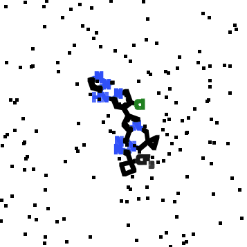 Cn1nccc1Nc1cc(-c2cc3n(c2)CC2(CC2)Cn2c-3nnc2C2(C(F)(F)F)CCC2)c(Cl)cn1